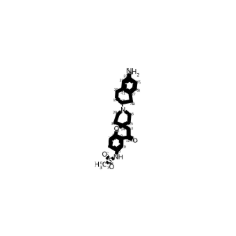 CS(=O)(=O)Nc1ccc2c(c1)C(=O)CC1(CCN([C@@H]3CCc4cc(N)ccc4C3)CC1)O2